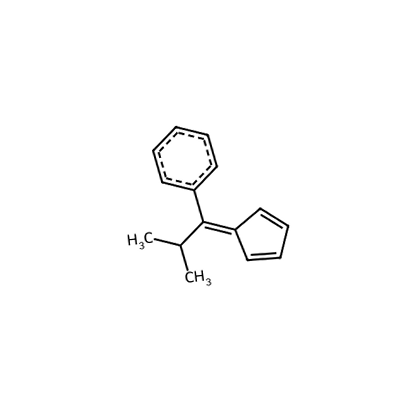 CC(C)C(=C1C=CC=C1)c1ccccc1